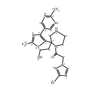 CCc1ncn(CC(=O)N2CCNCC2(CCO)c2sc(C(F)(F)F)nc2-c2cnc(C(F)(F)F)nc2)n1